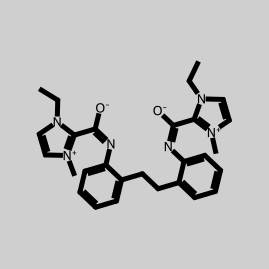 CCn1cc[n+](C)c1/C([O-])=N\c1ccccc1CCc1ccccc1/N=C(/[O-])c1n(CC)cc[n+]1C